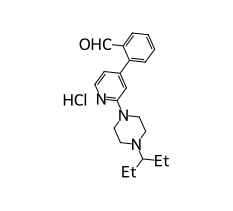 CCC(CC)N1CCN(c2cc(-c3ccccc3C=O)ccn2)CC1.Cl